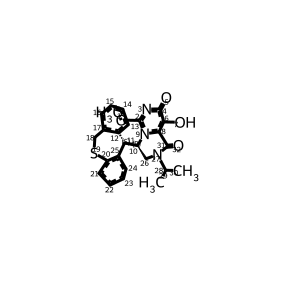 COc1nc(=O)c(O)c2n1[C@H]([C@H]1c3ccccc3CSc3ccccc31)CN(C(C)C)C2=O